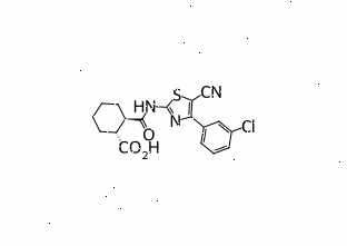 N#Cc1sc(NC(=O)[C@@H]2CCCC[C@H]2C(=O)O)nc1-c1cccc(Cl)c1